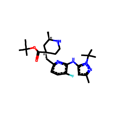 Cc1cc(Nc2nc(C[C@@]3(C(=O)OC(C)(C)C)CCN[C@H](C)C3)ccc2F)n(C(C)(C)C)n1